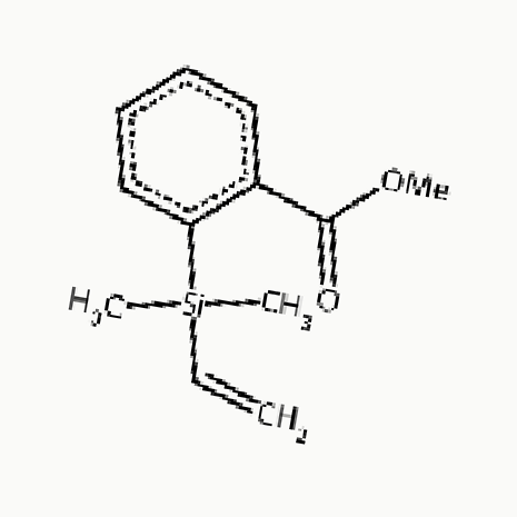 C=C[Si](C)(C)c1ccccc1C(=O)OC